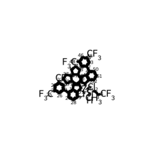 C[SiH](CCC(F)(F)F)[Zr]([Cl])([Cl])([CH]1C(CC2CCCC2)=Cc2c(-c3cc(C(F)(F)F)cc(C(F)(F)F)c3)cccc21)[CH]1C(CC2CCCC2)=Cc2c(-c3cc(C(F)(F)F)cc(C(F)(F)F)c3)cccc21